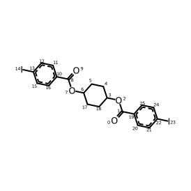 O=C(OC1CCC(OC(=O)c2ccc(I)cc2)CC1)c1ccc(I)cc1